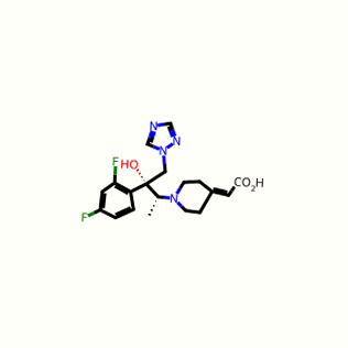 C[C@@H](N1CCC(=CC(=O)O)CC1)[C@](O)(Cn1cncn1)c1ccc(F)cc1F